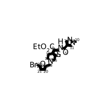 CCOC(=O)c1c(NC(=O)c2cnn(C)c2)sc2c1CCN(Cc1ccc(Br)o1)C2